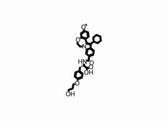 COc1ccc2c(c1)OCCn1c-2c(C2CCCCC2)c2ccc(C(=O)N[C@@H](Cc3ccc(OCCCO)cc3)C(=O)O)cc21